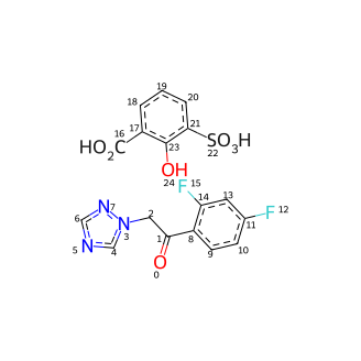 O=C(Cn1cncn1)c1ccc(F)cc1F.O=C(O)c1cccc(S(=O)(=O)O)c1O